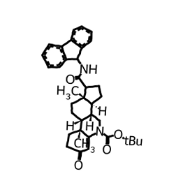 CC(C)(C)OC(=O)N1C[C@@H]2[C@@H](CC[C@]3(C)C(C(=O)NC4c5ccccc5-c5ccccc54)CC[C@@H]23)[C@@]2(C)CCC(=O)C=C12